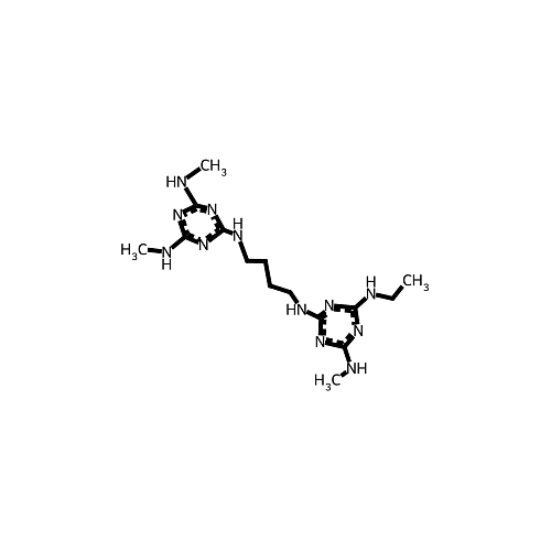 CCNc1nc(NC)nc(NCCCCNc2nc(NC)nc(NC)n2)n1